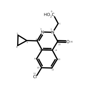 O=C(O)Cn1nc(C2CC2)c2cc(Cl)ccc2c1=O